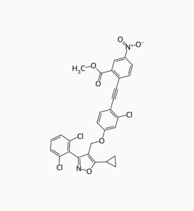 COC(=O)c1cc([N+](=O)[O-])ccc1C#Cc1ccc(OCc2c(-c3c(Cl)cccc3Cl)noc2C2CC2)cc1Cl